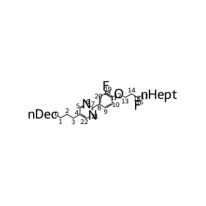 CCCCCCCCCCCCCc1cnc(-c2ccc(OCCC(F)CCCCCCC)c(F)c2)nc1